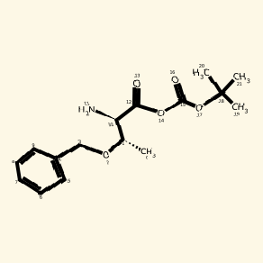 C[C@H](OCc1ccccc1)[C@@H](N)C(=O)OC(=O)OC(C)(C)C